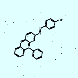 Oc1ccc(/N=N/c2ccc3nc4ccccc4[n+](-c4ccccc4)c3c2)cc1